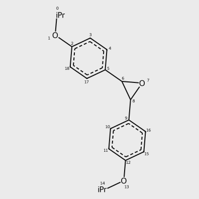 CC(C)Oc1ccc(C2OC2c2ccc(OC(C)C)cc2)cc1